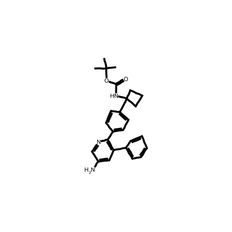 CC(C)(C)OC(=O)NC1(c2ccc(-c3ncc(N)cc3-c3ccccc3)cc2)CCC1